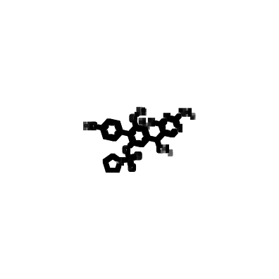 CCOc1cc(C(C)c2cnc(N)nc2N)cc(OS(=O)(=O)N2CCCC2)c1-c1ccc(O)cc1